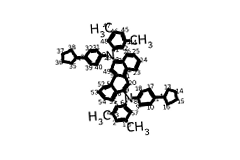 Cc1cc(C)cc(N(c2ccc(C3CCCC3)cc2)c2cc3c4ccccc4c(N(c4ccc(C5CCCC5)cc4)c4cc(C)cc(C)c4)cc3c3ccccc23)c1